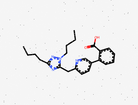 CCCCc1nc(Cc2ccc(-c3ccccc3C(=O)O)cn2)n(CCCC)n1